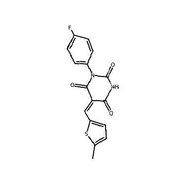 Cc1ccc(/C=C2\C(=O)NC(=O)N(c3ccc(F)cc3)C2=O)s1